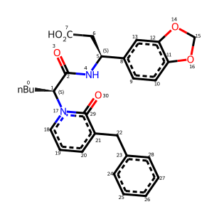 CCCC[C@@H](C(=O)N[C@@H](CC(=O)O)c1ccc2c(c1)OCO2)n1cccc(Cc2ccccc2)c1=O